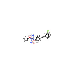 O=C(NNC(=O)C1CCCC1)c1ccc(C#Cc2cccc(F)c2)cc1